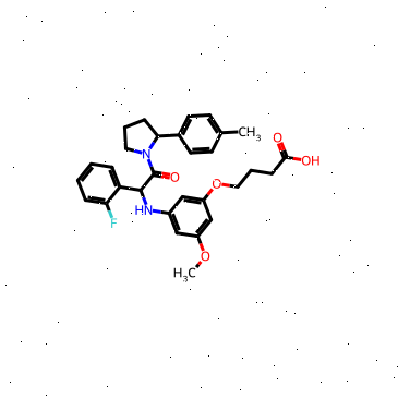 COc1cc(NC(C(=O)N2CCCC2c2ccc(C)cc2)c2ccccc2F)cc(OCCCC(=O)O)c1